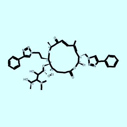 CCO[C@@H](O[C@H]1[C@@H](CCn2cc(-c3ccccc3)nn2)C[C@@H](C)C(=O)/C=C/C(C)=C/[C@H](Cn2cc(-c3ccccc3)nn2)[C@@H](CC)OC(=O)CC[C@@H]1C)C(O)C([C@@H](C)O)N(C)C